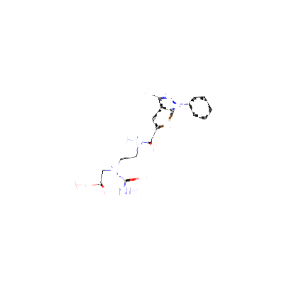 Cc1nn(-c2ccccc2)c2sc(C(=O)NCCN(CC(=O)O)C(N)=O)cc12